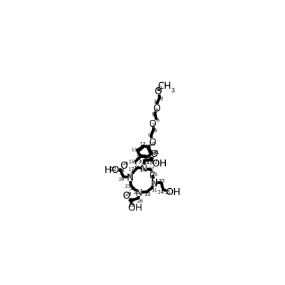 COCCOCCOCCOc1ccc(C[C@H]2CN(CC(=O)O)CCN(CC(=O)O)CCN(CCO)CCN2CC(=O)O)cc1